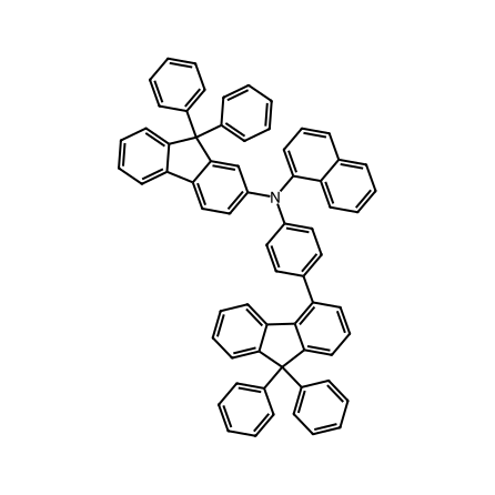 c1ccc(C2(c3ccccc3)c3ccccc3-c3ccc(N(c4ccc(-c5cccc6c5-c5ccccc5C6(c5ccccc5)c5ccccc5)cc4)c4cccc5ccccc45)cc32)cc1